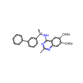 COc1cc2nc(C)nc(N[C@H](C)c3cccc(-c4ccccc4)c3)c2cc1OC